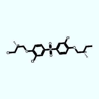 CC[C@H](C)COc1ccc(S(=O)(=O)c2ccc(OC[C@@H](C)CCl)c(Cl)c2)cc1Cl